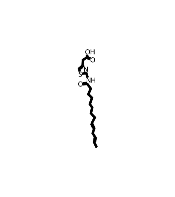 CC=CCC=CCCCCCCCC(=O)Nc1nc(CC(=O)O)cs1